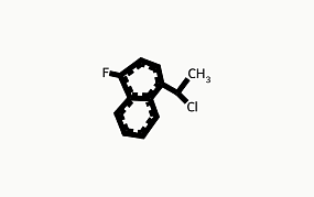 CC(Cl)c1ccc(F)c2ccccc12